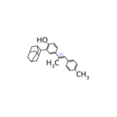 C/C(=C\c1ccc(C)cc1)c1ccc(O)c(C2C3CC4CC(C3)CC2C4)c1